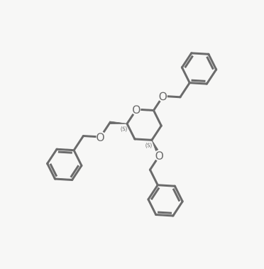 c1ccc(COC[C@@H]2C[C@H](OCc3ccccc3)CC(OCc3ccccc3)O2)cc1